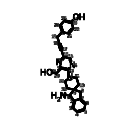 N[C@@H]1c2ccccc2CC12CCN(c1ncc(C#CCc3ccc(O)cc3)nc1CO)CC2